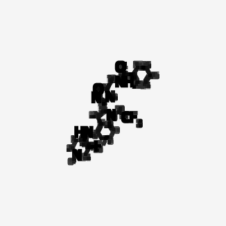 CN1CC[C@@H](Nc2cccc3c2cc(-c2noc(CNC(=O)c4ccccc4)n2)n3CC(F)(F)F)[C@@H](F)C1